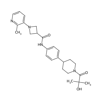 Cc1ncccc1N1CC(C(=O)Nc2ccc(C3CCN(C(=O)C(C)(C)O)CC3)cc2)C1